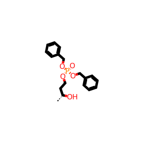 C[C@@H](O)CCOP(=O)(OCc1ccccc1)OCc1ccccc1